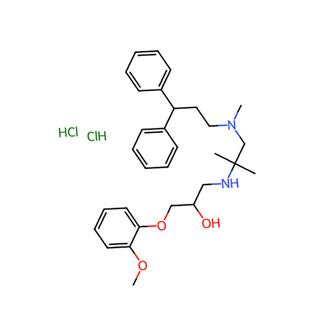 COc1ccccc1OCC(O)CNC(C)(C)CN(C)CCC(c1ccccc1)c1ccccc1.Cl.Cl